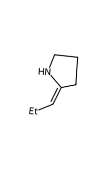 CCC=C1CCCN1